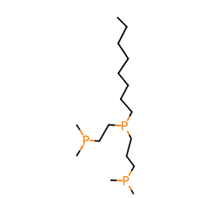 CCCCCCCCP(CCCP(C)C)CCP(C)C